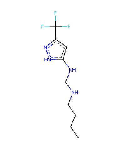 CCCCNCNc1cc(C(F)(F)F)n[nH]1